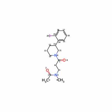 CC(=O)N(C)CCC(=O)N1CCCC(c2ccccc2I)C1